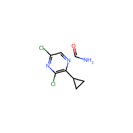 Clc1cnc(C2CC2)c(Cl)n1.NC=O